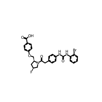 O=C(Nc1ccc(CC(=O)N2C[C@@H](F)C[C@H]2COc2ccc(C(=O)O)cc2)cc1)Nc1ccccc1Br